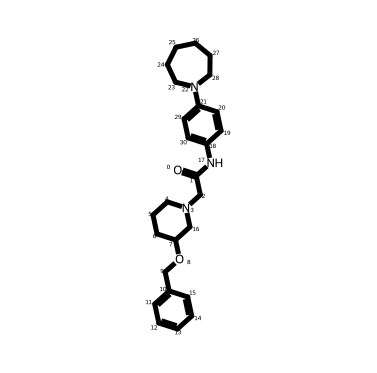 O=C(CN1CCCC(OCc2ccccc2)C1)Nc1ccc(N2CCCCCC2)cc1